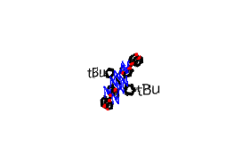 CC(C)(C)c1ccc2c(c1)N(c1ccc(-c3ccccc3)nc1)C(C1N(c3ccc(-c4ccccc4)nc3)c3ccc(C(C)(C)C)cc3N1c1ccc(-c3ccccc3)nc1)N2c1ccc(-c2ccccc2)nc1